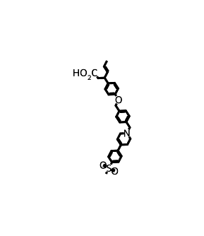 CC=CC(CC(=O)O)c1ccc(OCc2ccc(CN3CC=C(c4ccc(S(C)(=O)=O)cc4)CC3)cc2)cc1